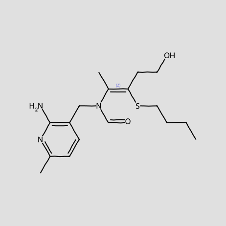 CCCCS/C(CCO)=C(/C)N(C=O)Cc1ccc(C)nc1N